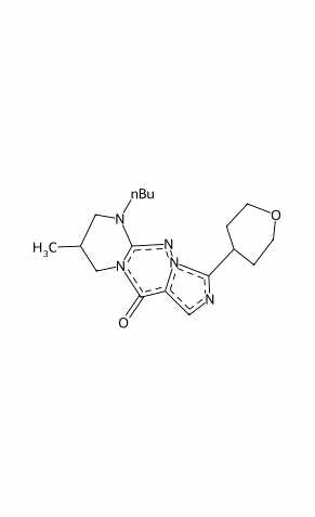 CCCCN1CC(C)Cn2c1nn1c(C3CCOCC3)ncc1c2=O